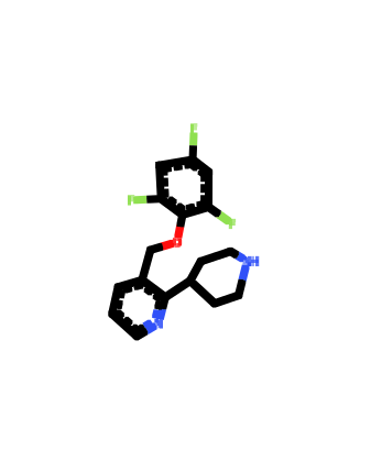 Fc1cc(F)c(OCc2cccnc2C2CCNCC2)c(F)c1